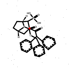 O=C(C(c1ccccc1)c1ccccc1)N1C[C@@H]2CC[C@H](C1P(=O)(O)O)N2C(=O)OCc1ccccc1